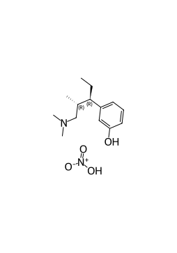 CC[C@@H](c1cccc(O)c1)[C@@H](C)CN(C)C.O=[N+]([O-])O